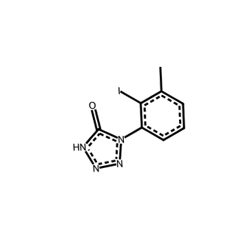 Cc1cccc(-n2nn[nH]c2=O)c1I